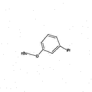 CCCCOc1cccc(C(C)C)c1